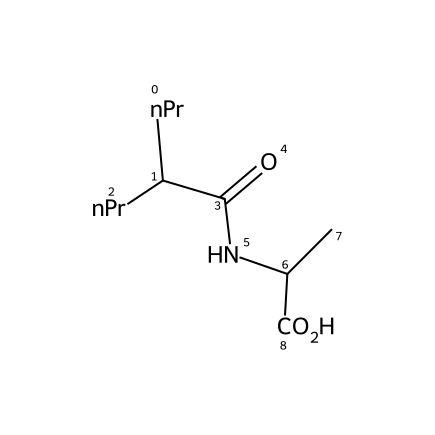 CCCC(CCC)C(=O)NC(C)C(=O)O